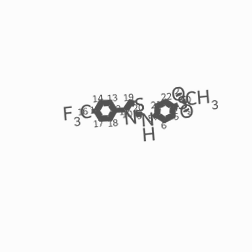 CS(=O)(=O)c1ccc(Nc2nc(-c3ccc(C(F)(F)F)cc3)cs2)cc1